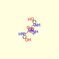 CC(C)(C)NC(=O)O[C@@H](Cc1c[nH]c2ccc(O)cc12)C(=O)NCCc1c[nH]c2ccc(O)cc12